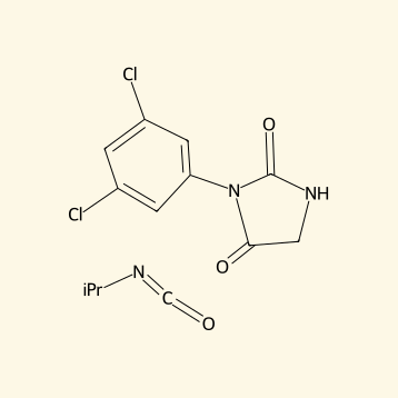 CC(C)N=C=O.O=C1CNC(=O)N1c1cc(Cl)cc(Cl)c1